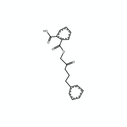 O=C(CCCc1ccccc1)COC(=O)c1ccccc1C(=O)O